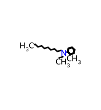 CCCCCCCCCCN(CCC)c1ccccc1C